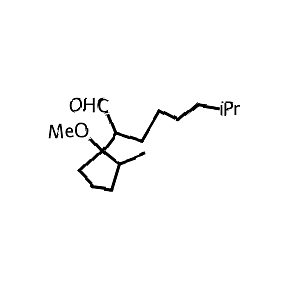 COC1(C(C=O)CCCCC(C)C)CCCC1C